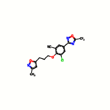 Cc1cc(CCCOc2c(Cl)cc(-c3noc(C(F)(F)F)n3)cc2C#N)on1